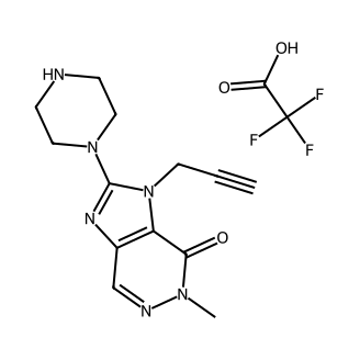 C#CCn1c(N2CCNCC2)nc2cnn(C)c(=O)c21.O=C(O)C(F)(F)F